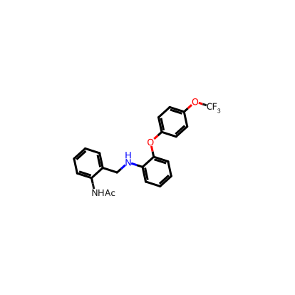 CC(=O)Nc1ccccc1CNc1ccccc1Oc1ccc(OC(F)(F)F)cc1